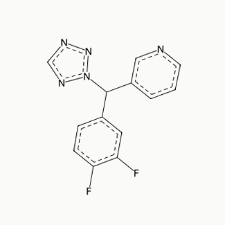 Fc1ccc(C(c2cccnc2)n2ncnn2)cc1F